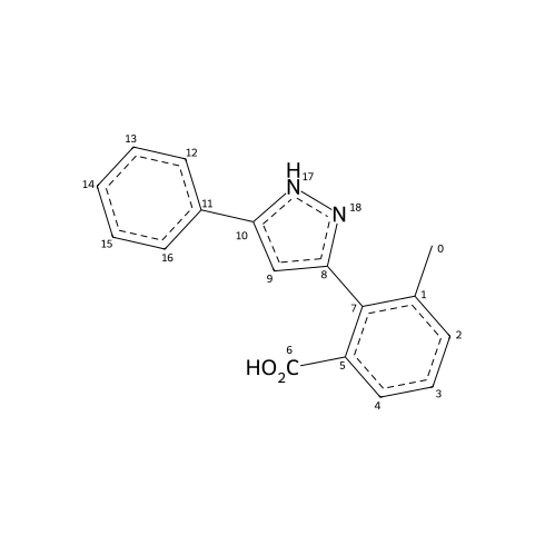 Cc1cccc(C(=O)O)c1-c1cc(-c2ccccc2)[nH]n1